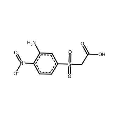 Nc1cc(S(=O)(=O)CC(=O)O)ccc1[N+](=O)[O-]